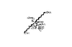 CCCCCCCCCCCCCCCCCC[N](CCCCCCCCCCCCCCCCCC)[Ti][O]CCCCCCCCCC.CCCCCCCC[N](CCCCCCCC)[Ti]([O]CCCCCC)[N](CCCCCCCC)CCCCCCCC.[Cl-].[Cl-].[Cl-]